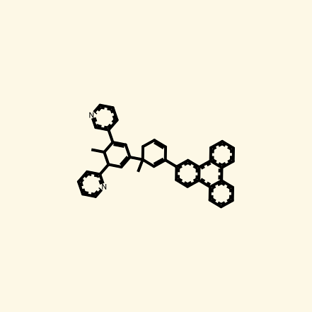 CC1C(c2cccnc2)=CC(C2(C)C=C(c3ccc4c5ccccc5c5ccccc5c4c3)C=CC2)=CC1c1ccccn1